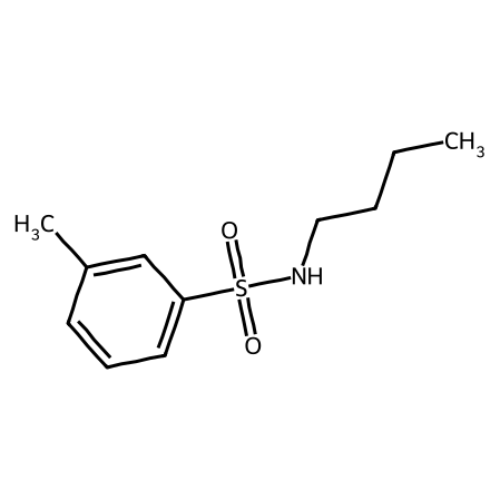 CCCCNS(=O)(=O)c1cccc(C)c1